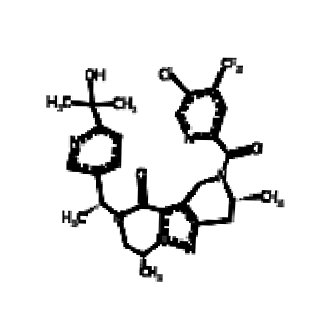 C[C@@H]1Cc2nn3c(c2CN1C(=O)c1cc(C(F)(F)F)c(Cl)cn1)C(=O)N([C@H](C)c1ccc(C(C)(C)O)nc1)C[C@H]3C